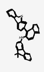 CC1(C)c2ccccc2-c2cc(Nc3ccc4ccccc4c3-c3ccc4c(c3)sc3ccccc34)ccc21